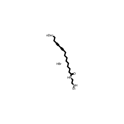 Br.CCCCCCCCCCCCC#CC#CCCCCCCCCC(=O)NCCNCC